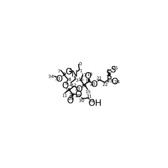 CCN(CC)OC(C)(COC(C)(COC(C)(CC)C(=O)OCCP(=O)=S=S)C(=O)OCCO)OC